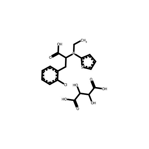 CCN(c1cccs1)C(Cc1ccccc1Cl)C(=O)O.O=C(O)C(O)C(O)C(=O)O